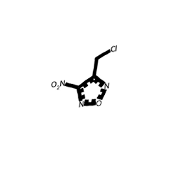 O=[N+]([O-])c1nonc1CCl